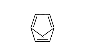 [C]1C2=CC=C1C=C2